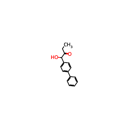 CCC(=O)C(O)c1ccc(-c2ccccc2)cc1